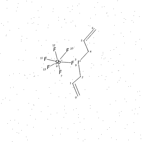 C=CC[I+]CC=C.[F][Sb-]([F])([F])([F])([F])[F]